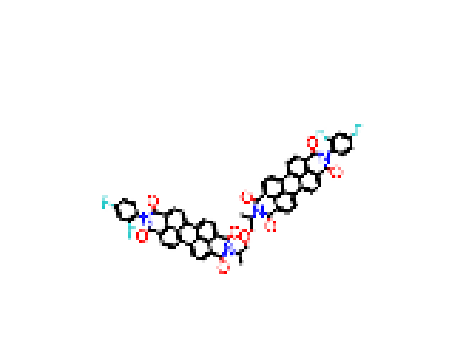 CC(COCC(C)N1C(=O)c2ccc3c4ccc5c6c(ccc(c7ccc(c2c37)C1=O)c64)C(=O)N(c1ccc(F)cc1F)C5=O)N1C(=O)c2ccc3c4ccc5c6c(ccc(c7ccc(c2c37)C1=O)c64)C(=O)N(c1ccc(F)cc1F)C5=O